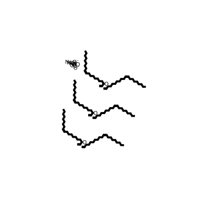 C=CC(CCCCCCC/C=C\CCCCCCCC)OC(C=C)CCCCCCC/C=C\CCCCCCCC.C=CC(CCCCCCC/C=C\CCCCCCCC)OC(C=C)CCCCCCC/C=C\CCCCCCCC.C=CC(CCCCCCC/C=C\CCCCCCCC)OC(C=C)CCCCCCC/C=C\CCCCCCCC.O=P([O-])([O-])[O-].[Na+].[Na+].[Na+]